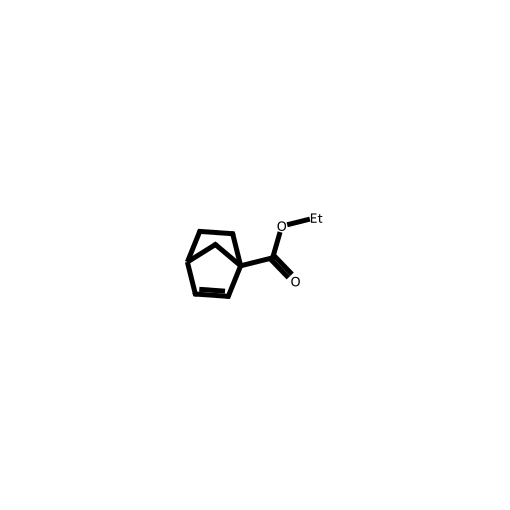 CCOC(=O)C12C=CC(CC1)C2